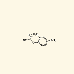 Cc1ccc(OC(C)C#N)c(C)c1